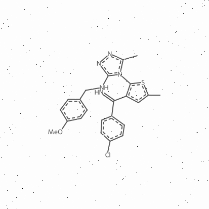 COc1ccc(CNc2nnc(C)n2-c2sc(C)cc2C(=N)c2ccc(Cl)cc2)cc1